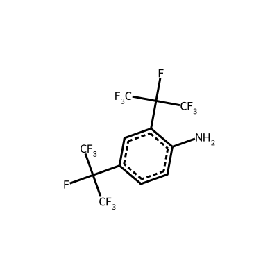 Nc1ccc(C(F)(C(F)(F)F)C(F)(F)F)cc1C(F)(C(F)(F)F)C(F)(F)F